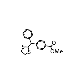 COC(=O)c1ccc(C(c2ccccc2)C2SCCS2)cc1